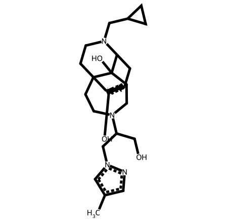 Cc1cnn(CC(CO)N2CCC34CCN(CC5CC5)C(Cc5ccc(O)cc53)C4(O)CC2)c1